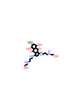 Cl.Cl.O=C1c2c(O)ccc(O)c2C(=O)c2c(NCCCNCCO)ccc(NCCCNCCO)c21